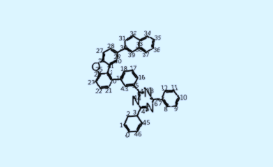 C1=CCC(c2nc(-c3ccccc3)nc(-c3cccc(-c4cccc5oc6ccc(-c7ccc8ccccc8c7)cc6c45)c3)n2)C=C1